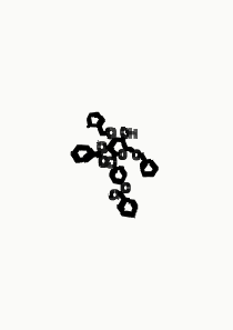 O=C(Oc1ccc(OC2OC(COCc3ccccc3)C(O)C(OCc3ccccc3)C2OC(=O)c2ccccc2)cc1)c1ccccc1